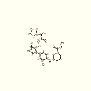 CC(C)OC(=O)[C@H]1CCC[C@H](Oc2ccc(-c3cnn(C)c3COC(=O)N(C)C3CCCC3)nc2Cl)C1